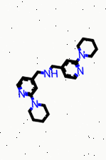 c1cc(CNCc2ccnc(N3CCCCC3)c2)cc(N2CCCCC2)n1